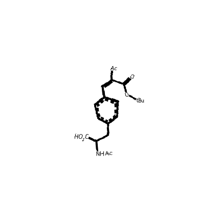 CC(=O)NC(Cc1ccc(C=C(C(C)=O)C(=O)OC(C)(C)C)cc1)C(=O)O